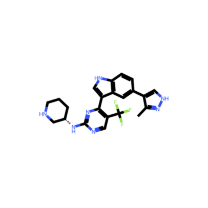 Cc1n[nH]cc1-c1ccc2[nH]cc(-c3nc(N[C@H]4CCCNC4)ncc3C(F)(F)F)c2c1